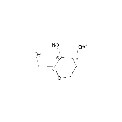 O=C[C@@H]1CCO[C@H](CO)[C@@H]1O